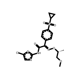 COC[C@@H](C)O/N=C(/C(=O)Nc1ncc(Cl)s1)c1ccc(S(=O)(=O)C2CC2)cc1